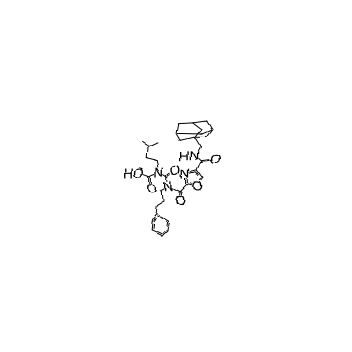 CC(C)CCN(C(=O)O)C(=O)N(CCCc1ccccc1)C(=O)c1nc(C(=O)NCC23CC4CC(CC(C4)C2)C3)co1